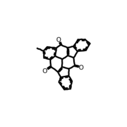 Cc1cc2c3c(c1)C(=O)C1=C4C(C(=O)C5C(=C(C2=O)c2ccccc25)C43)c2ccccc21